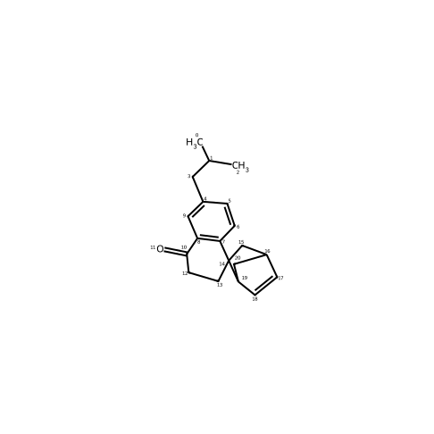 CC(C)Cc1ccc2c(c1)C(=O)CCC21CC2C=CC1C2